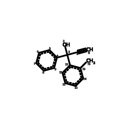 C#CC(O)(c1ccccc1)c1ccccc1C